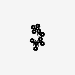 c1ccc(-c2nc(-c3ccccc3)nc(-n3c4ccccc4c4cc(-c5cccc6c5oc5cc7c(cc56)-c5ccccc5C7(c5ccccc5)c5ccccc5)ccc43)n2)cc1